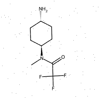 CN(C(=O)C(F)(F)F)[C@H]1CC[C@H](N)CC1